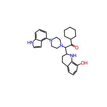 O=C(C1CCCCC1)C(C1CCc2cccc(O)c2N1)N1CCN(c2cccc3[nH]ccc23)CC1